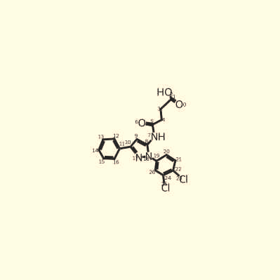 O=C(O)CCC(=O)Nc1cc(-c2ccccc2)nn1-c1ccc(Cl)c(Cl)c1